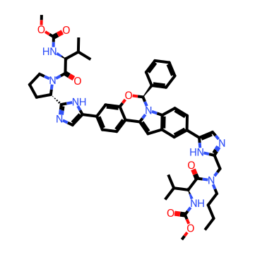 CCCCN(Cc1ncc(-c2ccc3c(c2)cc2n3[C@H](c3ccccc3)Oc3cc(-c4cnc([C@@H]5CCCN5C(=O)[C@@H](NC(=O)OC)C(C)C)[nH]4)ccc3-2)[nH]1)C(=O)[C@@H](NC(=O)OC)C(C)C